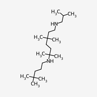 CC(C)CNCCC(C)(C)CCC(C)(C)NCCCC(C)(C)C